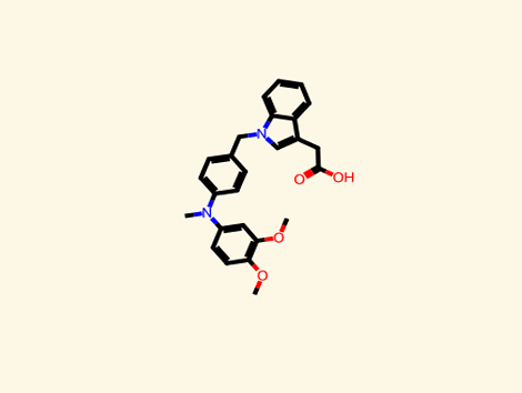 COc1ccc(N(C)c2ccc(Cn3cc(CC(=O)O)c4ccccc43)cc2)cc1OC